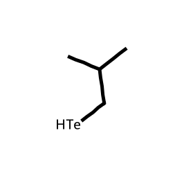 CC(C)C[TeH]